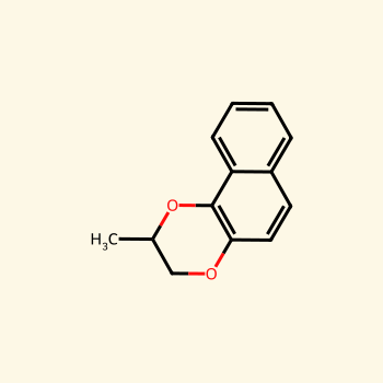 CC1COc2ccc3ccccc3c2O1